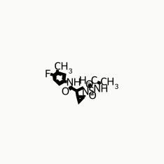 Cc1cc(NC(=O)C2CN(S(=O)(=O)NC(C)C)C3CC23)ccc1F